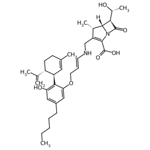 C=C(C)[C@@H]1CCC(C)=C[C@H]1c1c(O)cc(CCCCC)cc1OC/C=C/NCC1=C(C(=O)O)N2C(=O)[C@H]([C@@H](C)O)[C@H]2[C@H]1C